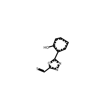 Oc1ccccc1-c1nnc(C=S)o1